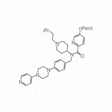 CCCCCc1ccc(C(=O)N(Cc2ccc(N3CCN(c4ccncc4)CC3)cc2)C2CCN(CCC(C)C)CC2)nc1